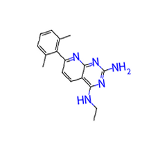 CCNc1nc(N)nc2nc(-c3c(C)cccc3C)ccc12